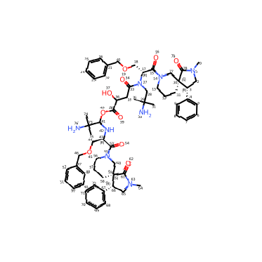 CN1C[C@H](c2ccccc2)[C@]2(CCCN(C(=O)[C@@H](COCc3ccccc3)N(CC(C)(C)N)C(=O)CC(O)C(=O)OC(N[C@H](COCc3ccccc3)C(=O)N3CCC[C@]4(C3)C(=O)N(C)C[C@@H]4c3ccccc3)C(C)(C)N)C2)C1=O